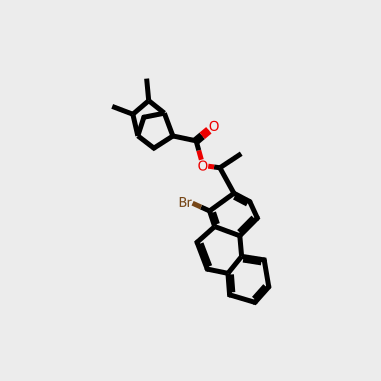 CC(OC(=O)C1CC2CC1C(C)C2C)c1ccc2c(ccc3ccccc32)c1Br